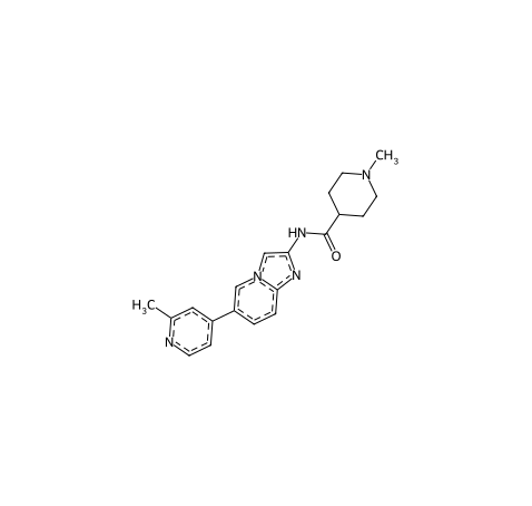 Cc1cc(-c2ccc3nc(NC(=O)C4CCN(C)CC4)cn3c2)ccn1